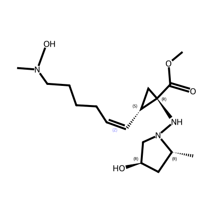 COC(=O)[C@@]1(NN2C[C@H](O)C[C@H]2C)C[C@H]1/C=C\CCCCN(C)O